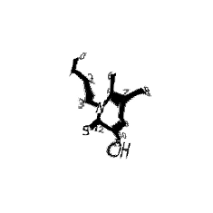 CCCCn1c(C)c(C)cc(O)c1=S